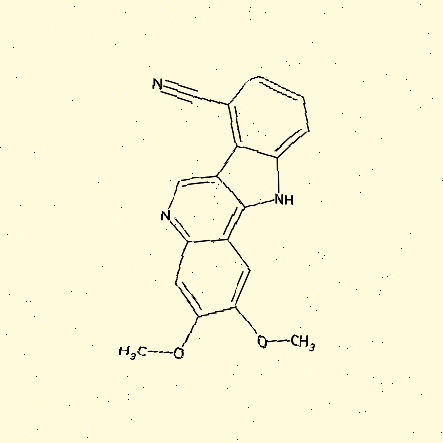 COc1cc2ncc3c([nH]c4cccc(C#N)c43)c2cc1OC